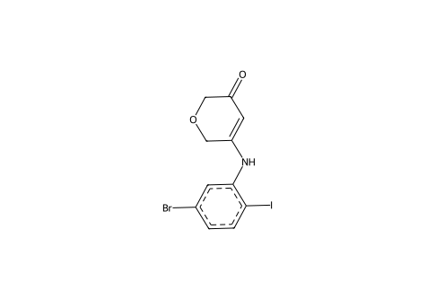 O=C1C=C(Nc2cc(Br)ccc2I)COC1